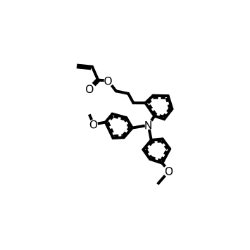 C=CC(=O)OCCCc1ccccc1N(c1ccc(OC)cc1)c1ccc(OC)cc1